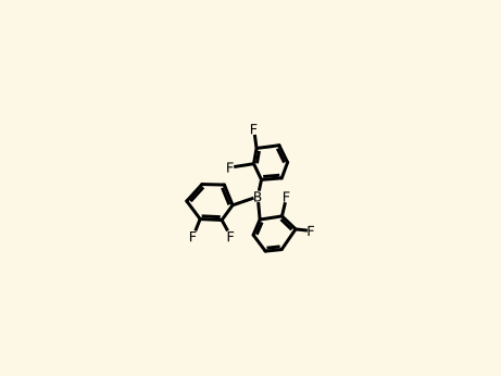 Fc1cccc(B(c2cccc(F)c2F)c2cccc(F)c2F)c1F